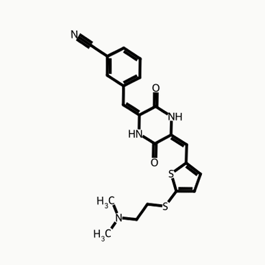 CN(C)CCSc1ccc(C=c2[nH]c(=O)c(=Cc3cccc(C#N)c3)[nH]c2=O)s1